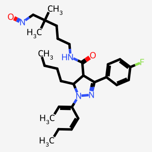 C/C=C(\C=C/CC)N1N=C(c2ccc(F)cc2)C(C(=O)NCCCC(C)(C)CN=O)C1CCCC